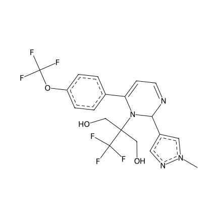 Cn1cc(C2N=CC=C(c3ccc(OC(F)(F)F)cc3)N2C(CO)(CO)C(F)(F)F)cn1